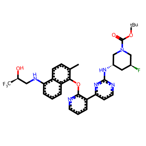 Cc1ccc2c(NC[C@H](O)C(F)(F)F)cccc2c1Oc1ncccc1-c1ccnc(N[C@H]2C[C@H](F)CN(C(=O)OC(C)(C)C)C2)n1